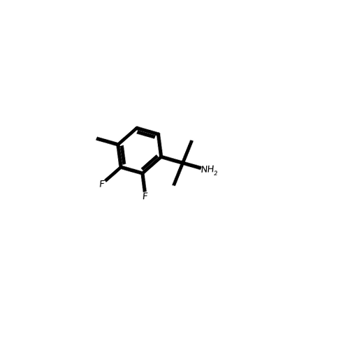 Cc1ccc(C(C)(C)N)c(F)c1F